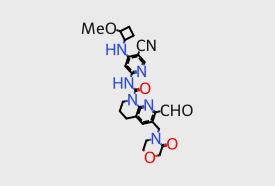 COC1CCC1Nc1cc(NC(=O)N2CCCc3cc(CN4CCOCC4=O)c(C=O)nc32)ncc1C#N